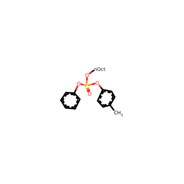 CCCCCCCCOP(=O)(Oc1ccccc1)Oc1ccc(C)cc1